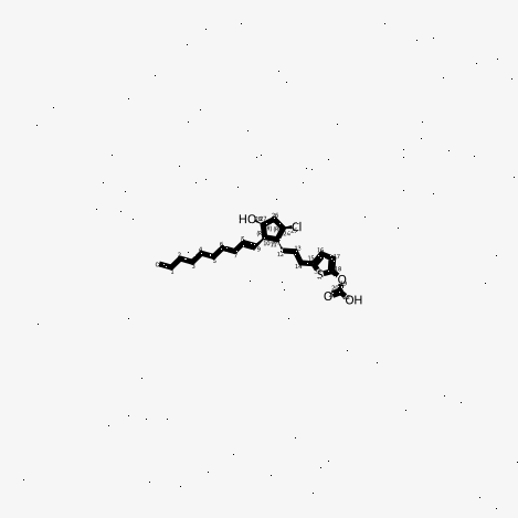 CCCCCCCCC=C[C@@H]1[C@@H](CCCc2ccc(OC(=O)O)s2)[C@H](Cl)C[C@H]1O